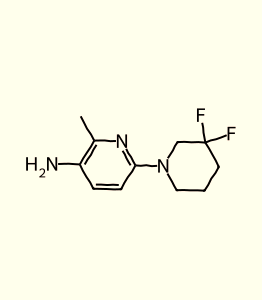 Cc1nc(N2CCCC(F)(F)C2)ccc1N